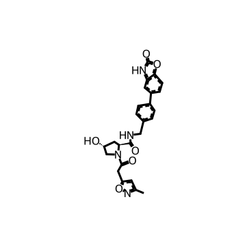 Cc1cc(CC(=O)N2C[C@H](O)C[C@H]2C(=O)NCc2ccc(-c3ccc4oc(=O)[nH]c4c3)cc2)on1